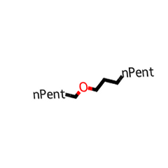 [CH2]CCCCCCCOCCCCC[CH2]